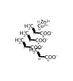 C=CC(=O)[O-].C=CC(=O)[O-].C=CC(=O)[O-].C=CC(=O)[O-].[Cu+2].[Zn+2]